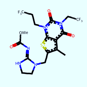 COC(=O)N=C1NCCN1Cc1sc2c(c1C)c(=O)n(CC(F)(F)F)c(=O)n2CCC(F)(F)F